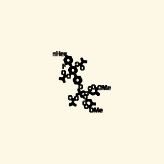 C=C(C)C(=O)OCC(COC(=O)CC(=C)C(=O)OC)(COC(=O)CC(=C)C(=O)OC)COc1ccc(-c2cc(OC(=O)C(=C)C)c(-c3ccc(CCCCCC)cc3F)cc2OC(=O)C(=C)C)cc1